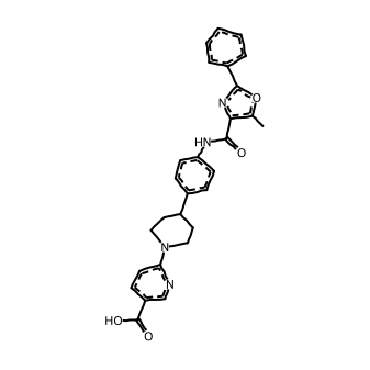 Cc1oc(-c2ccccc2)nc1C(=O)Nc1ccc(C2CCN(c3ccc(C(=O)O)cn3)CC2)cc1